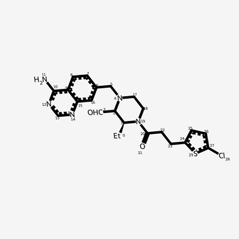 CC[C@H]1C(C=O)N(Cc2ccc3c(N)ncnc3c2)CCN1C(=O)CCc1ccc(Cl)s1